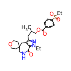 CCn1nc(C[C@@H](C)COC(=O)c2ccc(S(=O)(=O)CC)cc2)c2c1C(=O)NCC1(CCOCC1)C2